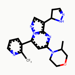 CC1COCCN1c1cc(-c2cccnc2C(F)(F)F)n2ncc(C3CC=NN3)c2n1